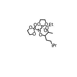 CCOC(C)C(CCC(C)C)ON(P1(=O)OCCO1)P1(=O)OCCO1